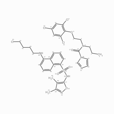 CCCN(CCOc1c(Cl)cc(Cl)cc1Cl)C(=O)n1ccnc1.Cc1noc(NS(=O)(=O)c2cccc3c(NCCCCCl)cccc23)c1C